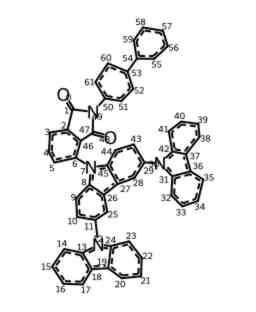 O=C1c2cccc(-n3c4ccc(-n5c6ccccc6c6ccccc65)cc4c4cc(-n5c6ccccc6c6ccccc65)ccc43)c2C(=O)N1c1ccc(-c2ccccc2)cc1